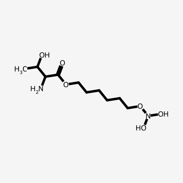 CC(O)C(N)C(=O)OCCCCCCON(O)O